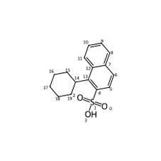 O=S(=O)(O)c1ccc2ccccc2c1C1CCCCC1